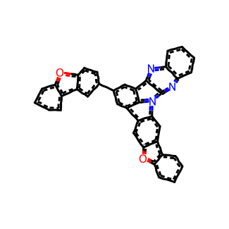 c1ccc2nc3c(nc2c1)c1cc(-c2ccc4oc5ccccc5c4c2)cc2c4cc5oc6ccccc6c5cc4n3c21